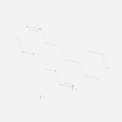 CCCc1nc2ccccc2c(OC2C=CC=CO2)c1C(=O)O